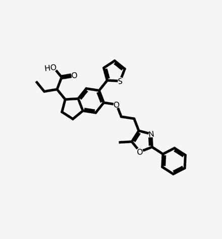 CCC(C(=O)O)C1CCc2cc(OCCc3nc(-c4ccccc4)oc3C)c(-c3cccs3)cc21